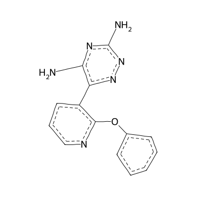 Nc1nnc(-c2cccnc2Oc2ccccc2)c(N)n1